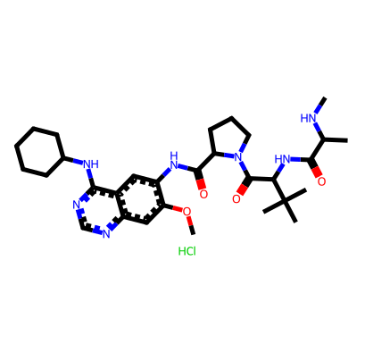 CNC(C)C(=O)NC(C(=O)N1CCCC1C(=O)Nc1cc2c(NC3CCCCC3)ncnc2cc1OC)C(C)(C)C.Cl